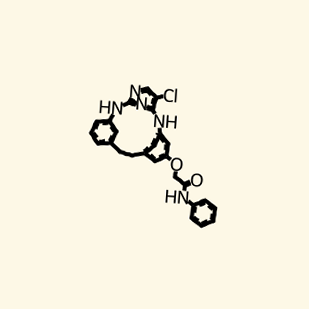 O=C(COc1cc2cc(c1)Nc1nc(ncc1Cl)Nc1cccc(c1)CC2)Nc1ccccc1